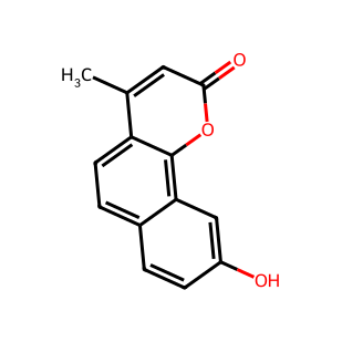 Cc1cc(=O)oc2c1ccc1ccc(O)cc12